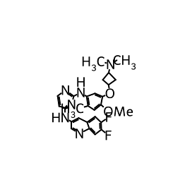 COc1cc(C)c(Nc2nccc(Nc3cnc4cc(F)c(F)cc4c3)n2)cc1OC1CC(N(C)C)C1